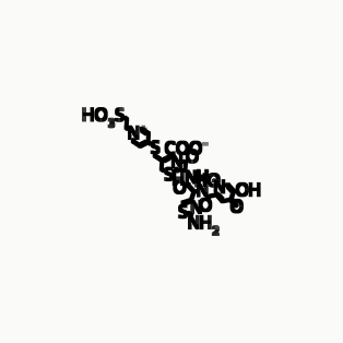 Nc1nc(C(NC(=O)c2cc(=O)c(O)cn2O)C(=O)N[C@@H]2C(=O)N3C(C(=O)[O-])=C(CSc4cc[n+](CCS(=O)(=O)O)cc4)CS[C@H]23)cs1